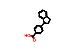 O=C(O)c1ccc(C2CCc3ccccc32)cc1